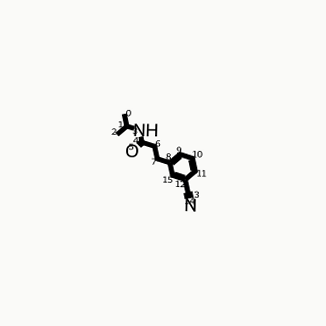 CC(C)NC(=O)CCc1cccc(C#N)c1